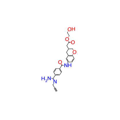 C#CCN=C(N)c1ccc(C(=O)Nc2ccc3c(c2)CC(CC(=O)OCCO)CO3)cc1